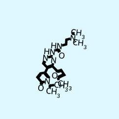 Cc1ccc(-c2nc(NC(=O)NCCN(C)C)ncc2-c2ccc(=O)n(C(C)C)c2)o1